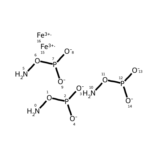 NOP([O-])[O-].NOP([O-])[O-].NOP([O-])[O-].[Fe+3].[Fe+3]